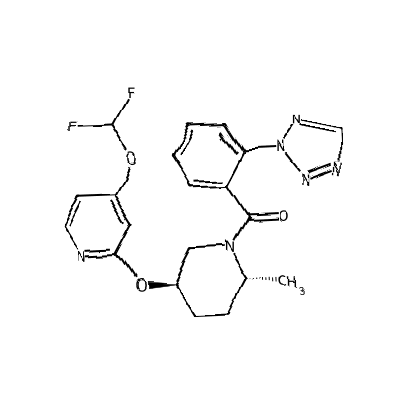 C[C@@H]1CC[C@@H](Oc2cc(OC(F)F)ccn2)CN1C(=O)c1ccccc1-n1ncnn1